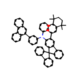 CC1(C)CCC(C)(C)c2cc(-c3cc4c(cc3N(c3ccccc3)c3cccc(-c5cc6ccccc6c6ccccc56)c3)C3(c5ccccc5-c5ccccc53)c3ccccc3-4)ccc21